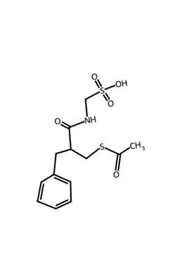 CC(=O)SCC(Cc1ccccc1)C(=O)NCS(=O)(=O)O